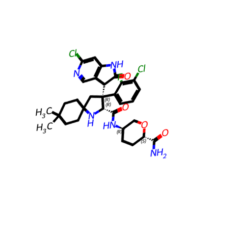 CC1(C)CCC2(CC1)C[C@](c1cccc(Cl)c1F)(C1C(=O)Nc3cc(Cl)ncc31)[C@H](C(=O)N[C@@H]1CC[C@@H](C(N)=O)OC1)N2